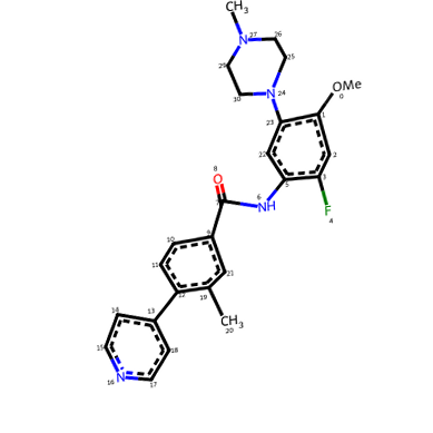 COc1cc(F)c(NC(=O)c2ccc(-c3ccncc3)c(C)c2)cc1N1CCN(C)CC1